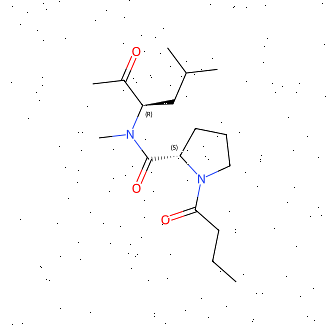 CCCC(=O)N1CCC[C@H]1C(=O)N(C)[C@H](CC(C)C)C(C)=O